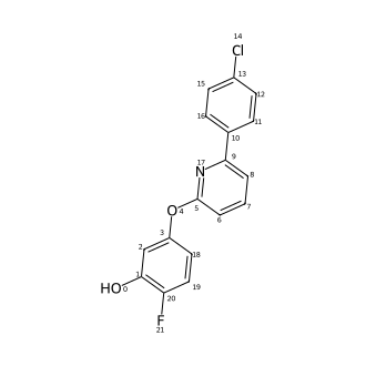 Oc1cc(Oc2cccc(-c3ccc(Cl)cc3)n2)ccc1F